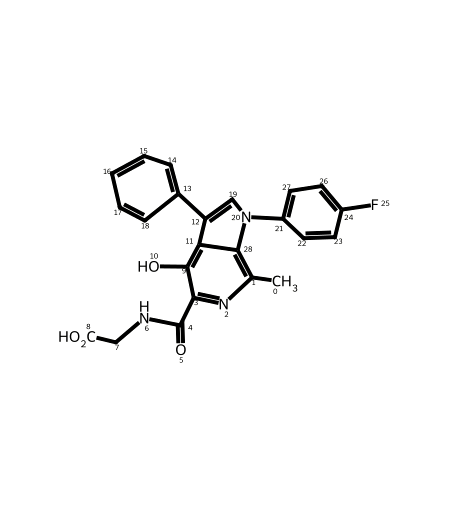 Cc1nc(C(=O)NCC(=O)O)c(O)c2c(-c3ccccc3)cn(-c3ccc(F)cc3)c12